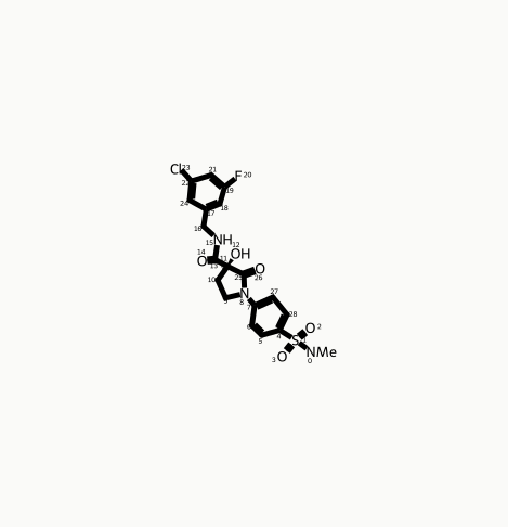 CNS(=O)(=O)c1ccc(N2CC[C@](O)(C(=O)NCc3cc(F)cc(Cl)c3)C2=O)cc1